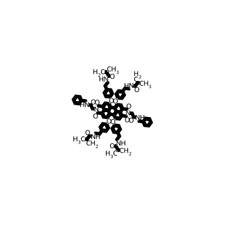 C=C(C)C(=O)NCCc1ccc(Oc2cc3c4c(cc(Oc5ccc(CCNC(=O)C(=C)C)cc5)c5c6c(Oc7ccc(CCNC(=O)C(=C)C)cc7)cc7c8c(cc(Oc9ccc(CCNC(=O)C(=C)C)cc9)c(c2c45)c86)C(=O)N(CC(=O)NCc2ccccc2)C7=O)C(=O)N(CC(=O)NCc2ccccc2)C3=O)cc1